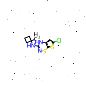 CC1(NC2=NSc3sc(Cl)cc3N2)CCC1